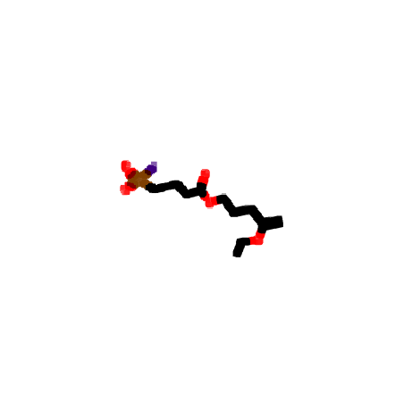 C=C(CCCOC(=O)CCCS(=O)(=O)I)OCC